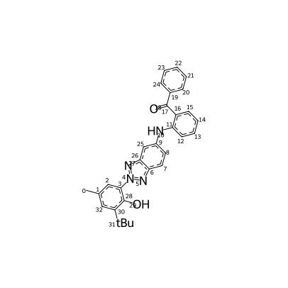 Cc1cc(-n2nc3ccc(Nc4ccccc4C(=O)c4ccccc4)cc3n2)c(O)c(C(C)(C)C)c1